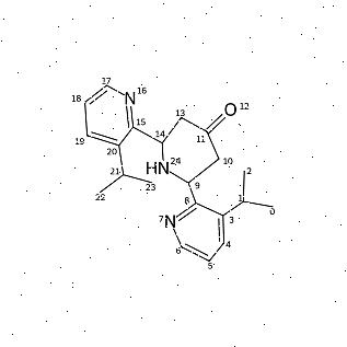 CC(C)c1cccnc1C1CC(=O)CC(c2ncccc2C(C)C)N1